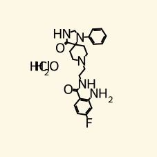 Cl.Nc1cc(F)ccc1C(=O)NCCN1CCC2(CC1)C(=O)NCN2c1ccccc1.O